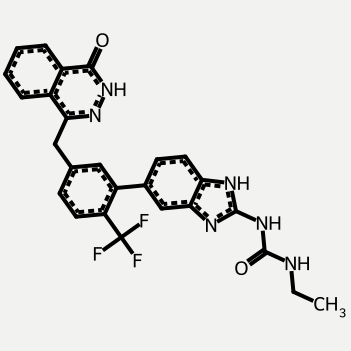 CCNC(=O)Nc1nc2cc(-c3cc(Cc4n[nH]c(=O)c5ccccc45)ccc3C(F)(F)F)ccc2[nH]1